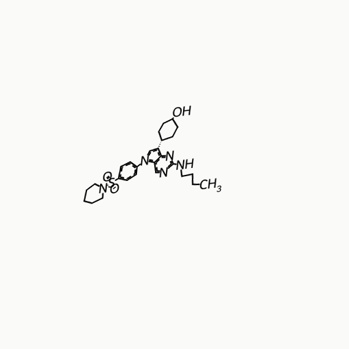 CCCCNc1ncc2c(n1)c([C@H]1CC[C@H](O)CC1)cn2-c1ccc(S(=O)(=O)N2CCCCC2)cc1